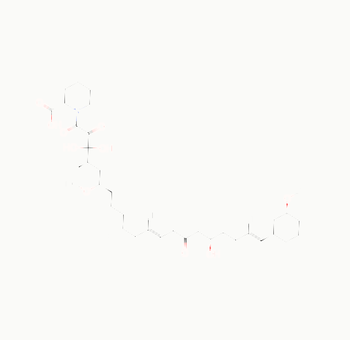 CO[C@H](CCC[C@@H](C)C/C(C)=C/CC(=O)C[C@H](O)CC/C(C)=C/[C@@H]1CCC[C@H](OC)C1)C[C@@H](C)C(O)(O)C(=O)C(=O)N1CCCC[C@H]1C(=O)O